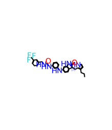 CCCc1cc[nH]c1/C=C1\C(=O)Nc2cc(Nc3cccc(NC(=O)NCC4=CC(C(F)(F)F)=CCC4)c3)ccc21